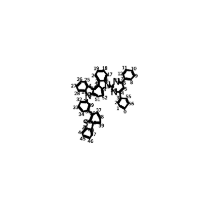 c1ccc(-c2cc(-c3ccccc3)nc(-n3c4ccccc4c4c5c6ccccc6n(-c6cccc(-c7cccc8c7sc7ccccc78)c6)c5ccc43)n2)cc1